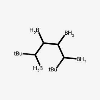 BC(C(B)C(B)C(C)(C)C)C(B)C(C)(C)C